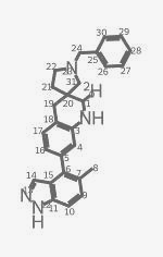 [2H]C1Nc2cc(-c3c(C)ccc4[nH]ncc34)ccc2CC12CCN(Cc1ccccc1)C2